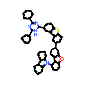 C1=c2oc3cccc(-n4c5ccccc5c5ccccc54)c3c2=CCC1c1ccc2sc3ccc(C4N=C(c5ccccc5)N=C(c5ccccc5)N4)cc3c2c1